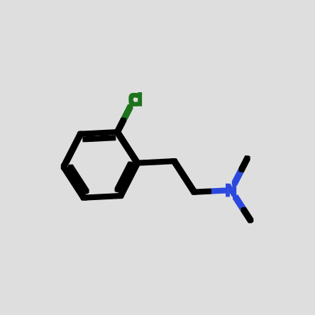 CN(C)CCc1ccccc1Cl